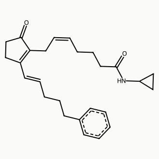 O=C(CCC/C=C\CC1=C(/C=C/CCCc2ccccc2)CCC1=O)NC1CC1